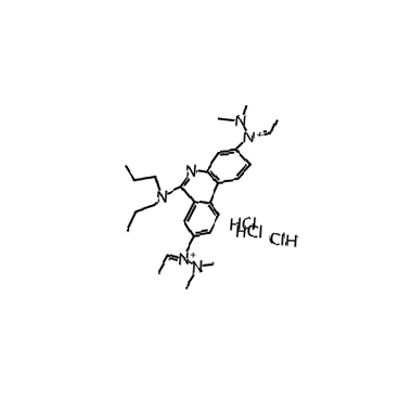 CC=[N+](c1ccc2c(c1)nc(N(CCC)CCC)c1cc([N+](=CC)N(C)C)ccc12)N(C)C.Cl.Cl.Cl